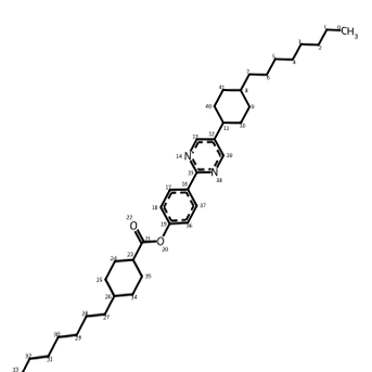 CCCCCCCCC1CCC(c2cnc(-c3ccc(OC(=O)C4CCC(CCCCCCC)CC4)cc3)nc2)CC1